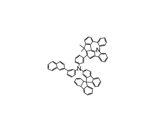 CC1(C)c2cccc3c2-c2c1c(-c1cccc(N(c4cccc(-c5ccc6ccccc6c5)c4)c4ccc5c(c4)C4(c6ccccc6-5)c5ccccc5C5C=CC=CC54)c1)cc1c4ccccc4n(c21)-c1ccccc1-3